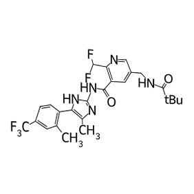 Cc1cc(C(F)(F)F)ccc1-c1[nH]c(NC(=O)c2cc(CNC(=O)C(C)(C)C)cnc2C(F)F)nc1C